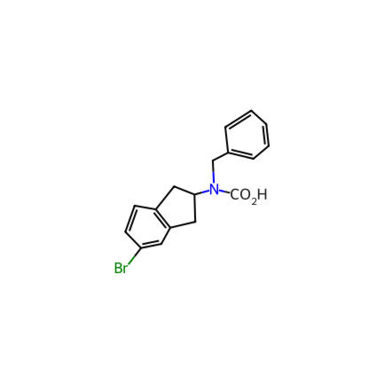 O=C(O)N(Cc1ccccc1)C1Cc2ccc(Br)cc2C1